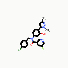 Cn1nc(C(F)(F)F)cc1-c1ccc(N(Cc2ccc(Cl)cc2)C(=O)c2cncc(F)c2)cc1O